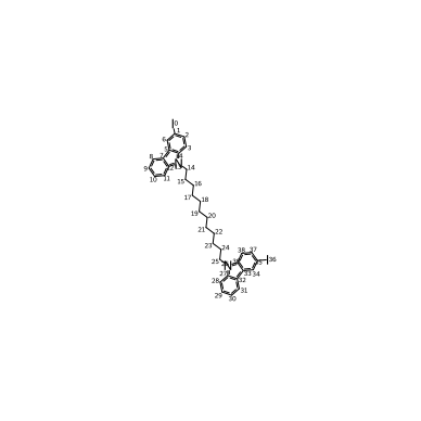 Ic1ccc2c(c1)c1ccccc1n2CCCCCCCCCCCCn1c2ccccc2c2cc(I)ccc21